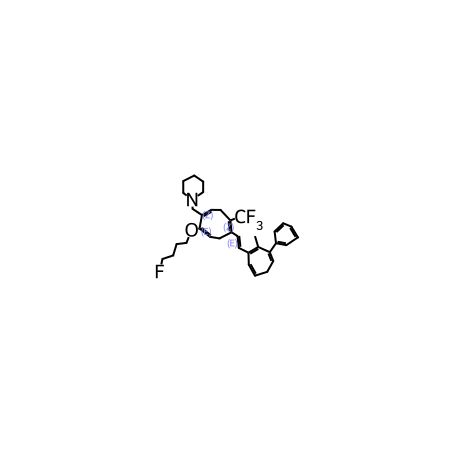 CC1=C(/C=C/C2=C(\C(F)(F)F)C/C=C(CN3CCCCC3)\C(OCCCCF)=C/C2)C=CCC=C1c1ccccc1